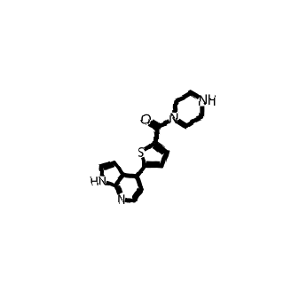 O=C(c1ccc(C2C=CN=C3NC=CC32)s1)N1CCNCC1